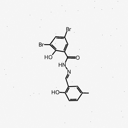 Cc1ccc(O)c(C=NNC(=O)c2cc(Br)cc(Br)c2O)c1